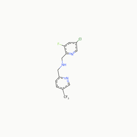 Fc1cc(Cl)cnc1CNCc1ccc(C(F)(F)F)cn1